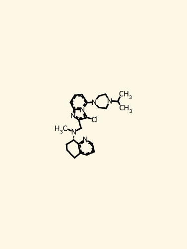 CC(C)N1CCN(c2cccc3nc(CN(C)[C@H]4CCCc5cccnc54)c(Cl)n23)CC1